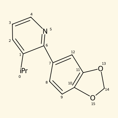 CC(C)c1cccnc1-c1ccc2c(c1)OCO2